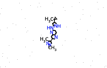 Cc1nn(C)cc1-c1cnc2ccc(Nc3cc(C4(C)CC4)c[nH]3)nc2c1